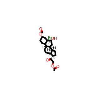 CC(=O)OCC(=O)[C@H]1CC[C@H]2[C@@H]3C[C@@H](O)[C@@]4(Br)C[C@@H](OC=O)CC[C@]4(C)[C@H]3CC[C@]12C